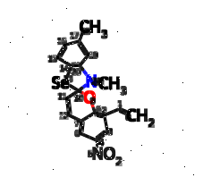 C=Cc1cc([N+](=O)[O-])cc2c1OC1(C=C2)[Se]c2ccc(C)cc2N1C